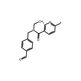 CCN(Cc1ccc(C=O)cc1)C(=O)c1ccc(F)nc1